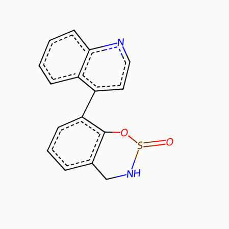 O=S1NCc2cccc(-c3ccnc4ccccc34)c2O1